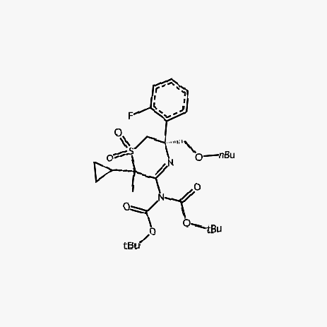 CCCCOC[C@@]1(c2ccccc2F)CS(=O)(=O)C(C)(C2CC2)C(N(C(=O)OC(C)(C)C)C(=O)OC(C)(C)C)=N1